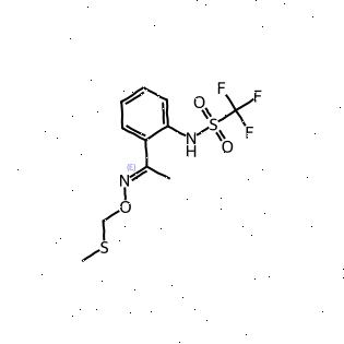 CSCO/N=C(\C)c1ccccc1NS(=O)(=O)C(F)(F)F